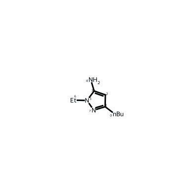 CCCCc1cc(N)n(CC)n1